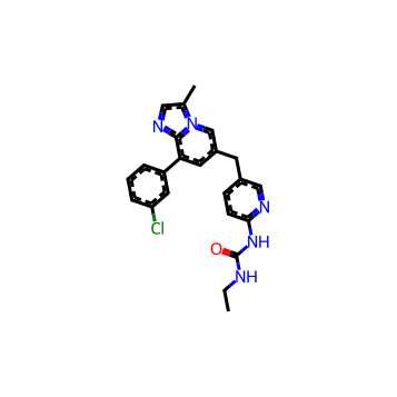 CCNC(=O)Nc1ccc(Cc2cc(-c3cccc(Cl)c3)c3ncc(C)n3c2)cn1